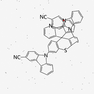 N#Cc1ccc2c(c1)c1ccccc1n2-c1ccc2c(c1)Sc1cccc(-n3c4ccccc4c4cc(C#N)ccc43)c1C21c2cccnc2-c2ncccc21